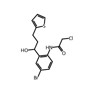 O=C(CCl)Nc1ccc(Br)cc1C(O)CCc1cccs1